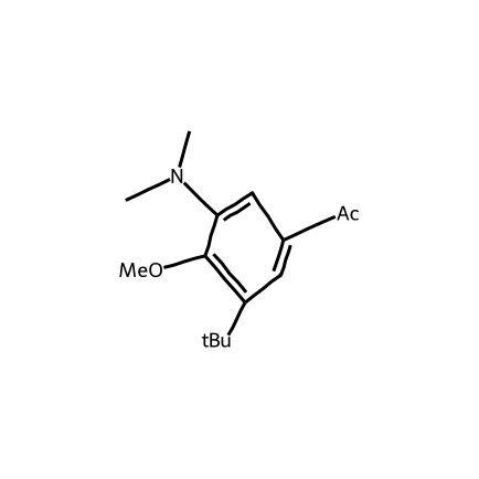 COc1c(N(C)C)cc(C(C)=O)cc1C(C)(C)C